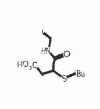 CCC(C)SC(CC(=O)O)C(=O)NCI